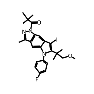 COCC(C)(C)c1c(I)c2cc3c(cc2n1-c1ccc(F)cc1)c(C)nn3C(=O)C(C)(C)C